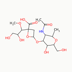 COC(C(O)CO)C1(C(=O)O)CC(OC2C(O)C(CO)OC(C)C2NC(C)=O)O1